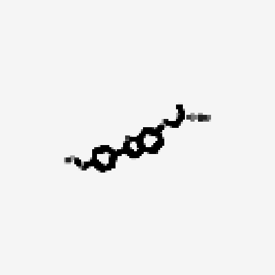 CCCOc1ccc(-c2cc3ccc(OC[C@H](C)NC(C)=O)cc3o2)cc1